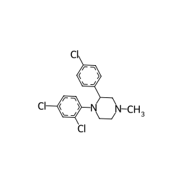 CN1CCN(c2ccc(Cl)cc2Cl)C(c2ccc(Cl)cc2)C1